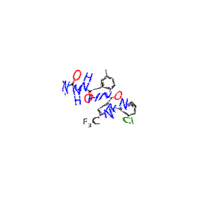 Cc1ccc(NC(=O)c2cc(C(F)(F)F)nn2-c2ncccc2Cl)c(C(=O)NNC(=O)N(C)C)c1